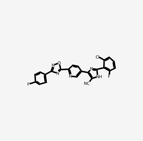 N#Cc1[nH]c(-c2c(F)cccc2Cl)nc1-c1ccc(-c2nc(-c3ccc(F)cc3)no2)nc1